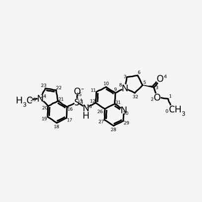 CCOC(=O)[C@@H]1CCN(c2ccc(N[S+]([O-])c3cccc4c3ccn4C)c3cccnc23)C1